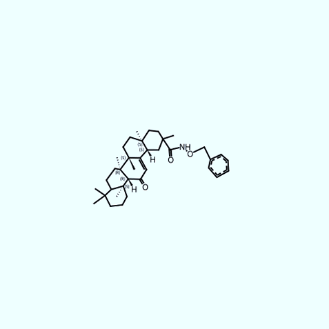 CC1(C(=O)NOCc2ccccc2)CC[C@]2(C)CC[C@]3(C)C(=CC(=O)[C@@H]4[C@@]5(C)CCCC(C)(C)C5CC[C@]43C)[C@H]2C1